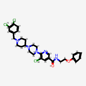 O=C(NCCOc1ccccc1)c1cnc(N2CCN(C3CCN(Cc4ccc(Cl)c(Cl)c4)CC3)CC2)c(Cl)c1